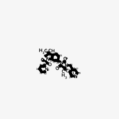 CC1(C)CN(S(=O)(=O)c2ccccn2)c2cc(N3C(=O)N(Cc4ccncc4)C(C)(C)C3=O)ccc21